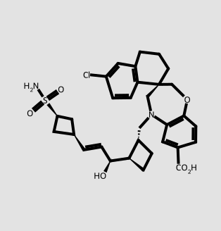 NS(=O)(=O)[C@H]1C[C@@H](/C=C/[C@H](O)[C@@H]2CC[C@H]2CN2C[C@@]3(CCCc4cc(Cl)ccc43)COc3ccc(C(=O)O)cc32)C1